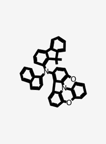 CC1(C)c2ccccc2-c2cccc(N(c3cccc4ccccc34)c3ccc4c5c3c3cccc6c3n5-c3c(cccc3O4)O6)c21